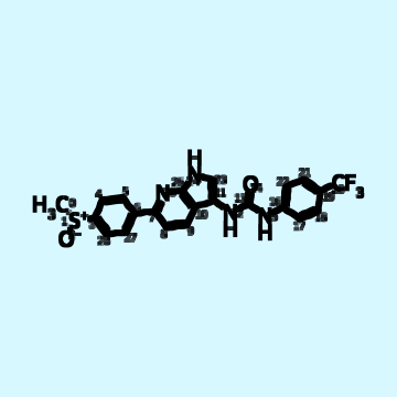 C[S+]([O-])c1ccc(-c2ccc3c(NC(=O)Nc4ccc(C(F)(F)F)cc4)c[nH]c3n2)cc1